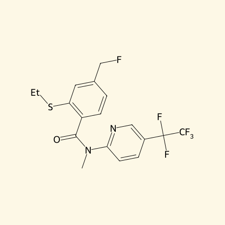 CCSc1cc(CF)ccc1C(=O)N(C)c1ccc(C(F)(F)C(F)(F)F)cn1